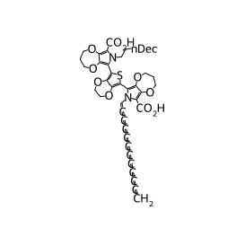 C=C=C=C=C=C=C=C=C=C=C=Cn1c(C(=O)O)c2c(c1-c1sc(-c3c4c(c(C(=O)O)n3CCCCCCCCCCCC)OCCCO4)c3c1OCCO3)OCCCO2